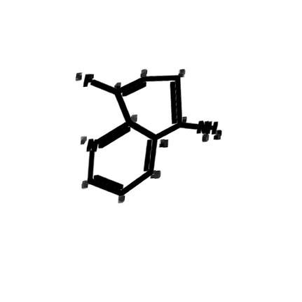 Nc1ccc(F)c2ncccc12